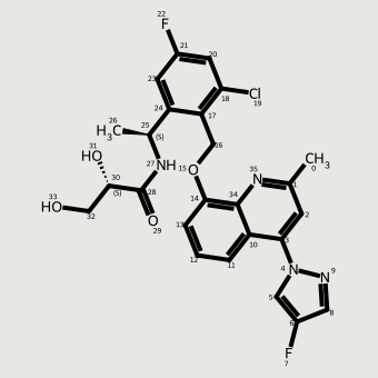 Cc1cc(-n2cc(F)cn2)c2cccc(OCc3c(Cl)cc(F)cc3[C@H](C)NC(=O)[C@@H](O)CO)c2n1